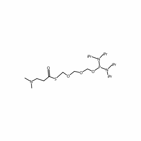 CC(C)N(C(C)C)P(OCOCOCSC(=O)CCN(C)C)N(C(C)C)C(C)C